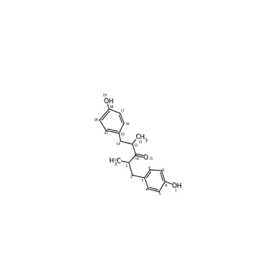 CC(Cc1ccc(O)cc1)C(=O)C(C)Cc1ccc(O)cc1